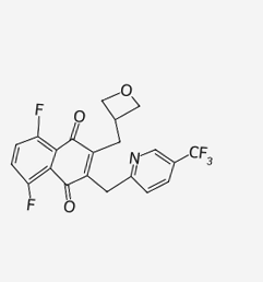 O=C1C(Cc2ccc(C(F)(F)F)cn2)=C(CC2COC2)C(=O)c2c(F)ccc(F)c21